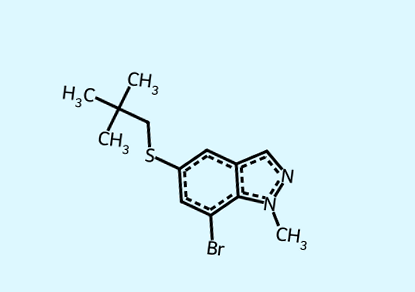 Cn1ncc2cc(SCC(C)(C)C)cc(Br)c21